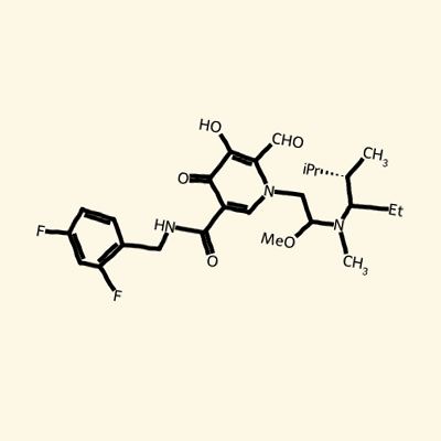 CCC([C@@H](C)C(C)C)N(C)C(Cn1cc(C(=O)NCc2ccc(F)cc2F)c(=O)c(O)c1C=O)OC